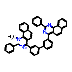 C=Nc1c(/C(=N\Cc2ccccc2)c2cccc(-c3cccc(-c4nc(-c5ccccc5)nc5c4ccc4ccccc45)c3)c2)ccc2ccccc12